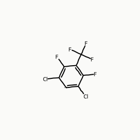 Fc1c(Cl)[c]c(Cl)c(F)c1C(F)(F)F